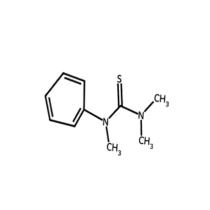 CN(C)C(=S)N(C)c1ccccc1